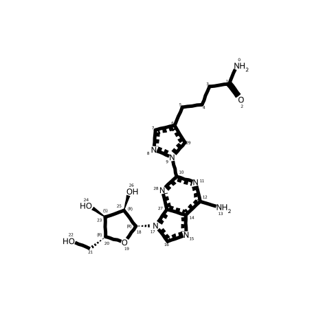 NC(=O)CCCc1cnn(-c2nc(N)c3ncn([C@@H]4O[C@H](CO)[C@@H](O)[C@H]4O)c3n2)c1